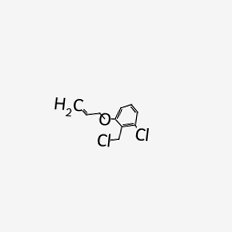 C=CCOc1cccc(Cl)c1CCl